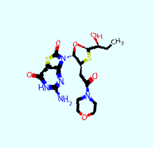 CC[C@H](O)[C@@H]1O[C@@H](n2c(=O)sc3c(=O)[nH]c(N)nc32)[C@H](CC(=O)N2CCOCC2)S1